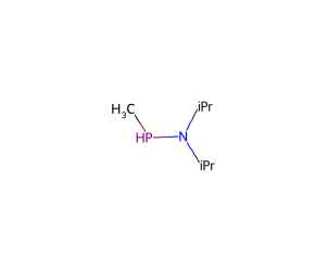 CPN(C(C)C)C(C)C